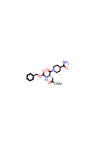 COC(=O)C[C@H](NC(=O)OCc1ccccc1)C(=O)N1CCC(C(N)=O)CC1